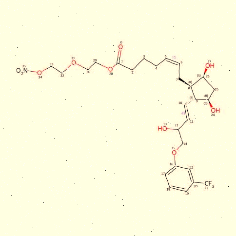 O=C(CCC/C=C\C[C@@H]1[C@@H](/C=C/C(O)COc2cccc(C(F)(F)F)c2)[C@H](O)C[C@@H]1O)OCCOCCO[N+](=O)[O-]